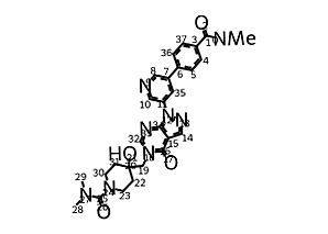 CNC(=O)c1ccc(-c2cncc(-n3ncc4c(=O)n(CC5(O)CCN(C(=O)N(C)C)CC5)cnc43)c2)cc1